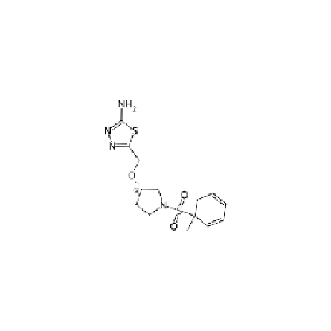 CC1(S(=O)(=O)N2CC[C@H](OCc3nnc(N)s3)C2)C=CC=CC1